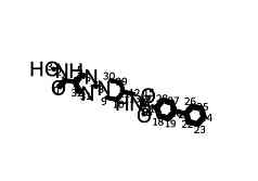 O=C(NO)c1cnc(N2CCC(CNS(=O)(=O)c3ccc(-c4ccccc4)cc3)CC2)nc1